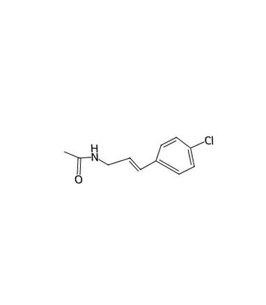 CC(=O)NCC=Cc1ccc(Cl)cc1